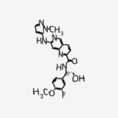 COc1ccc([C@@H](CO)NC(=O)c2ccc3cnc(Nc4ccnn4C)cc3n2)cc1F